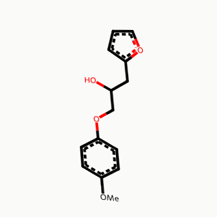 COc1ccc(OCC(O)Cc2ccco2)cc1